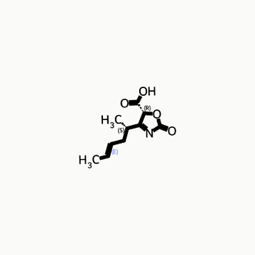 C/C=C/C[C@H](C)C1=NC(=O)O[C@H]1C(=O)O